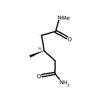 CNC(=O)[CH][C@H](C)CC(N)=O